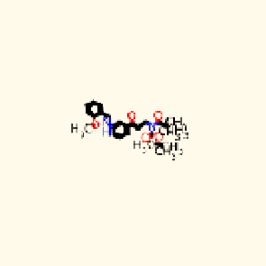 COc1ccccc1CNc1cccc(C(=O)CCN(C(=O)OC(C)(C)C)C(=O)C(C)(C)C)c1